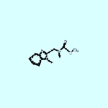 CN(Cc1nc2ccccc2n1C)C(=O)OC(C)(C)C